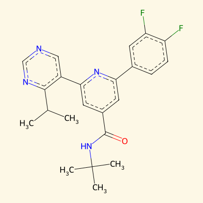 CC(C)c1ncncc1-c1cc(C(=O)NC(C)(C)C)cc(-c2ccc(F)c(F)c2)n1